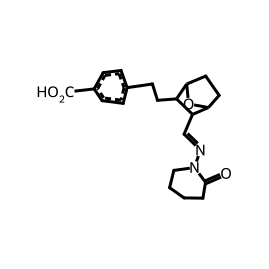 O=C(O)c1ccc(CCC2C3CCC(O3)C2/C=N/N2CCCCC2=O)cc1